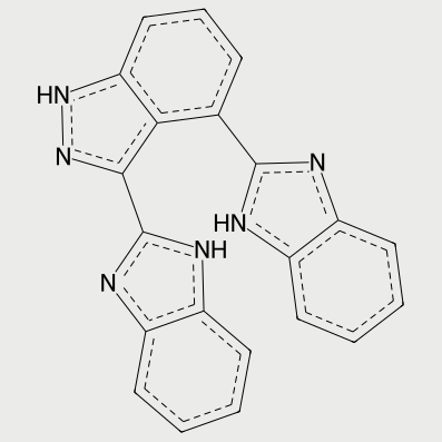 c1ccc2[nH]c(-c3cccc4[nH]nc(-c5nc6ccccc6[nH]5)c34)nc2c1